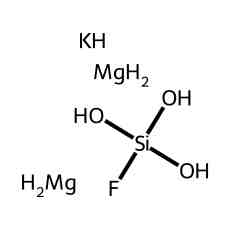 O[Si](O)(O)F.[KH].[MgH2].[MgH2]